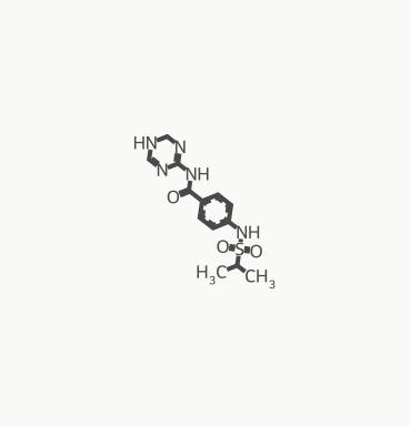 CC(C)S(=O)(=O)Nc1ccc(C(=O)NC2=NCNC=N2)cc1